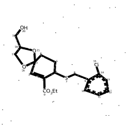 CCOC(=O)C1=CC2(CCC1SCc1ccccc1Cl)OCC(CO)O2